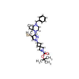 CC[C@@]1(C)CN(Cc2ccccc2)CCN1c1nn(C2CC3(C2)CN(C(=O)OC(C)(C)C)C3)cc1Br